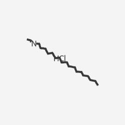 CC=NCCCCCCCCCCCCCCCCCC.Cl